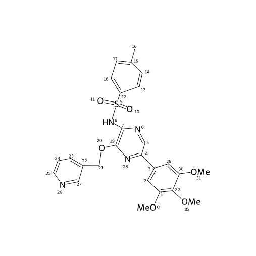 COc1cc(-c2cnc(NS(=O)(=O)c3ccc(C)cc3)c(OCc3cccnc3)n2)cc(OC)c1OC